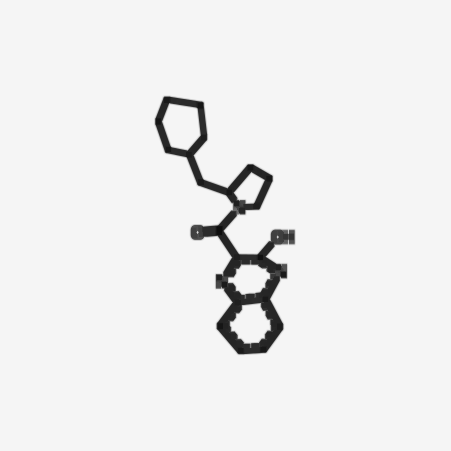 O=C(c1nc2ccccc2nc1O)N1CCCC1CC1CCCCC1